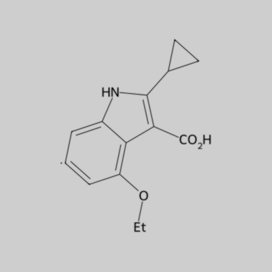 CCOc1c[c]cc2[nH]c(C3CC3)c(C(=O)O)c12